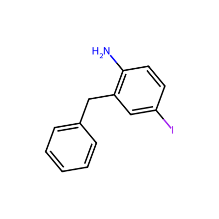 Nc1ccc(I)cc1Cc1ccccc1